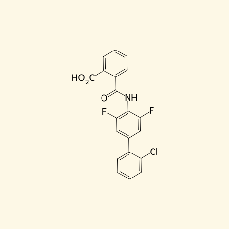 O=C(O)c1ccccc1C(=O)Nc1c(F)cc(-c2ccccc2Cl)cc1F